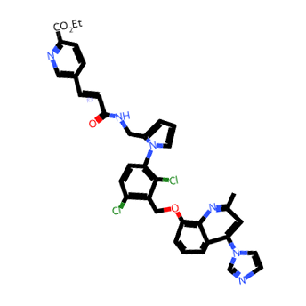 CCOC(=O)c1ccc(/C=C/C(=O)NCc2cccn2-c2ccc(Cl)c(COc3cccc4c(-n5ccnc5)cc(C)nc34)c2Cl)cn1